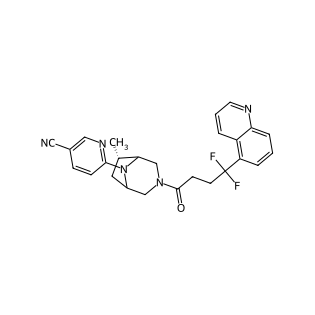 C[C@H]1CC2CN(C(=O)CCC(F)(F)c3cccc4ncccc34)CC1N2c1ccc(C#N)cn1